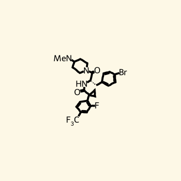 CNC1CCN(C(=O)[C@H](Cc2ccc(Br)cc2)NC(=O)C2(c3ccc(C(F)(F)F)cc3F)CC2)CC1